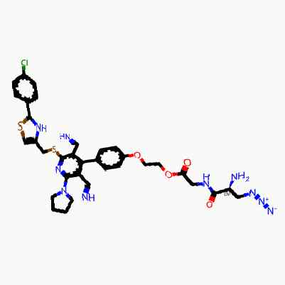 [N-]=[N+]=NC[C@H](N)C(=O)NCC(=O)OCCOc1ccc(-c2c(C=N)c(SCC3=CSC(c4ccc(Cl)cc4)N3)nc(N3CCCC3)c2C=N)cc1